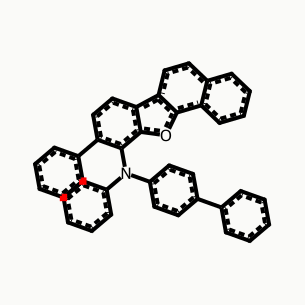 c1ccc(-c2ccc(N(c3ccccc3)c3c(-c4ccccc4)ccc4c3oc3c5ccccc5ccc43)cc2)cc1